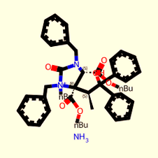 CCCCOC(=O)[C@H]1N(Cc2ccccc2)C(=O)[N+](CCCC)(Cc2ccccc2)[C@]1(C(=O)OCCCC)[C@H](C)C(O)(c1ccccc1)c1ccccc1.N